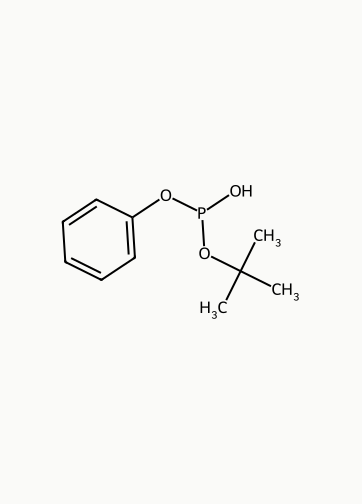 CC(C)(C)OP(O)Oc1ccccc1